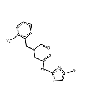 Cc1ccccc1CN(C=O)CC(=O)Nc1nc(Br)cs1